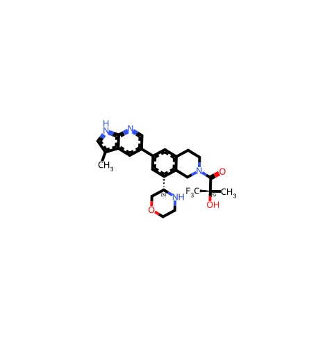 Cc1c[nH]c2ncc(-c3cc4c(c([C@H]5COCCN5)c3)CN(C(=O)[C@](C)(O)C(F)(F)F)CC4)cc12